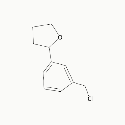 ClCc1cccc(C2CCCO2)c1